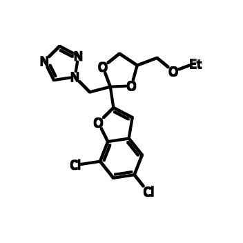 CCOCC1COC(Cn2cncn2)(c2cc3cc(Cl)cc(Cl)c3o2)O1